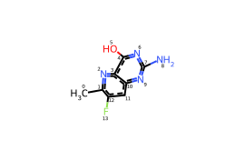 Cc1nc2c(O)nc(N)nc2cc1F